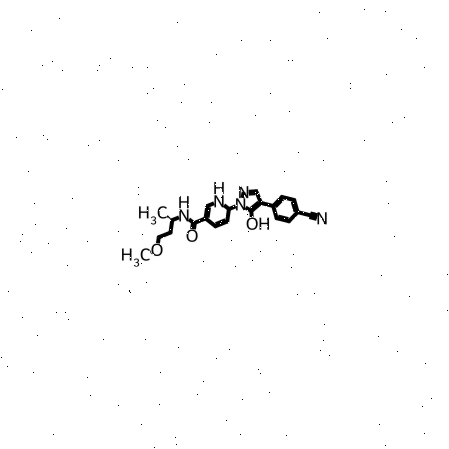 COCC[C@H](C)NC(=O)C1=CNC(n2ncc(-c3ccc(C#N)cc3)c2O)C=C1